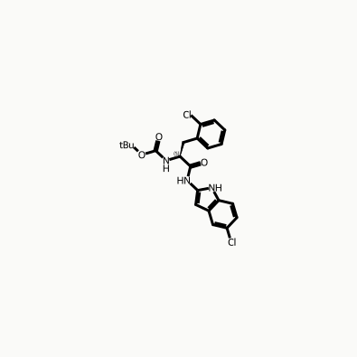 CC(C)(C)OC(=O)N[C@@H](Cc1ccccc1Cl)C(=O)Nc1cc2cc(Cl)ccc2[nH]1